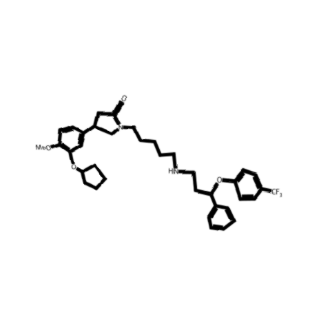 COc1ccc(C2CC(=O)N(CCCCCNCCC(Oc3ccc(C(F)(F)F)cc3)c3ccccc3)C2)cc1OC1CCCC1